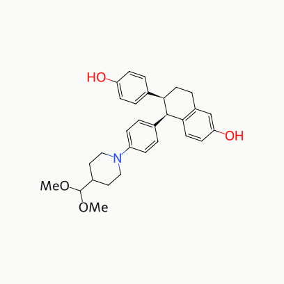 COC(OC)C1CCN(c2ccc([C@@H]3c4ccc(O)cc4CC[C@@H]3c3ccc(O)cc3)cc2)CC1